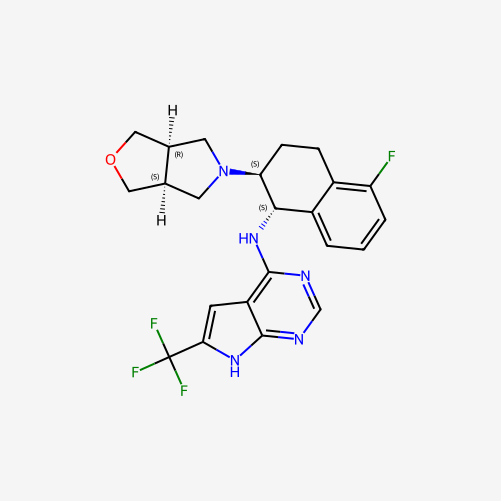 Fc1cccc2c1CC[C@H](N1C[C@H]3COC[C@H]3C1)[C@H]2Nc1ncnc2[nH]c(C(F)(F)F)cc12